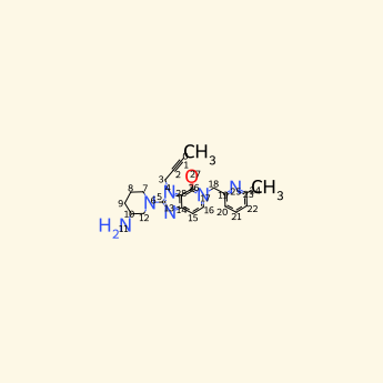 CC#CCn1c(N2CCCC(N)C2)nc2ccn(Cc3cccc(C)n3)c(=O)c21